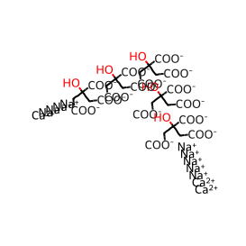 O=C([O-])CC(O)(CC(=O)[O-])C(=O)[O-].O=C([O-])CC(O)(CC(=O)[O-])C(=O)[O-].O=C([O-])CC(O)(CC(=O)[O-])C(=O)[O-].O=C([O-])CC(O)(CC(=O)[O-])C(=O)[O-].O=C([O-])CC(O)(CC(=O)[O-])C(=O)[O-].[Ca+2].[Ca+2].[Ca+2].[Na+].[Na+].[Na+].[Na+].[Na+].[Na+].[Na+].[Na+].[Na+]